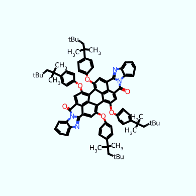 CC(C)(C)CC(C)(C)c1ccc(Oc2cc3c(=O)n4c5ccccc5nc4c4cc(Oc5ccc(C(C)(C)CC(C)(C)C)cc5)c5c6c(Oc7ccc(C(C)(C)CC(C)(C)C)cc7)cc7c(=O)n8c9ccccc9nc8c8cc(Oc9ccc(C(C)(C)CC(C)(C)C)cc9)c(c2c5c34)c6c78)cc1